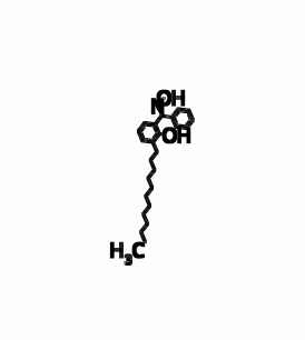 CCCCCCCCCCCCc1cccc(C(=NO)c2ccccc2)c1O